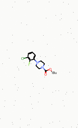 CC(C)(C)OC(=O)N1CCN(c2cccc(Cl)c2F)CC1